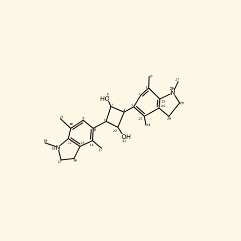 Cc1cc(C2C(O)C(c3cc(C)c4c(c3C)CCN4C)C2O)c(C)c2c1N(C)CC2